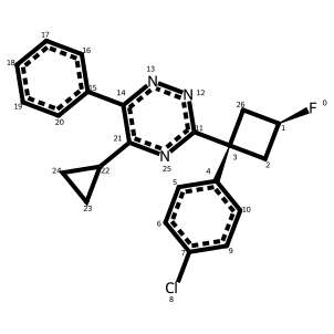 F[C@H]1C[C@](c2ccc(Cl)cc2)(c2nnc(-c3ccccc3)c(C3CC3)n2)C1